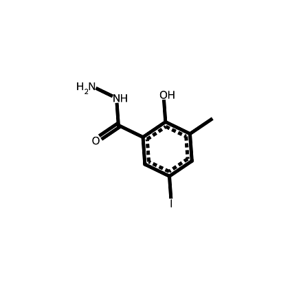 Cc1cc(I)cc(C(=O)NN)c1O